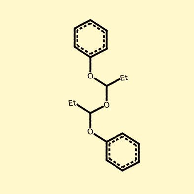 CCC(Oc1ccccc1)OC(CC)Oc1ccccc1